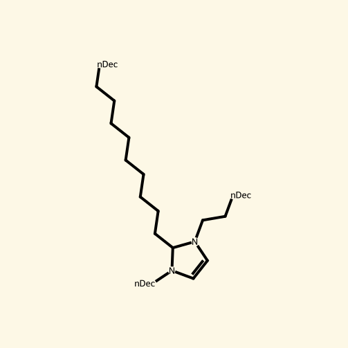 CCCCCCCCCCCCCCCCCCCC1N(CCCCCCCCCC)C=CN1CCCCCCCCCCCC